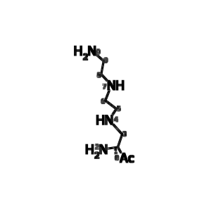 CC(=O)C(N)CNCCNCCN